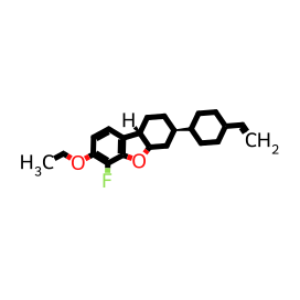 C=CC1CCC([C@@H]2CC[C@H]3c4ccc(OCC)c(F)c4OC3C2)CC1